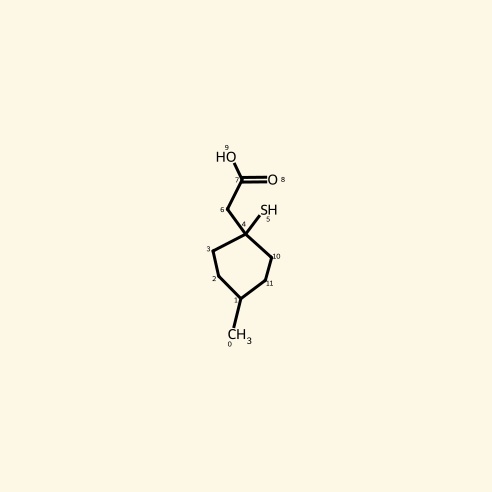 CC1CCC(S)(CC(=O)O)CC1